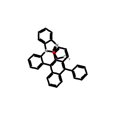 CCc1nc2ccccc2n1-c1ccccc1-c1c2ccccc2c(-c2ccccc2)c2ccccc12